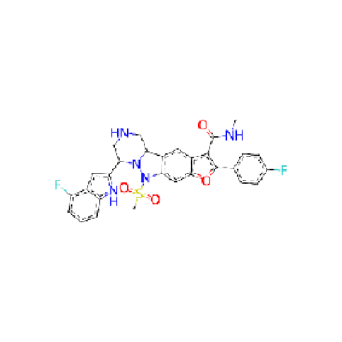 CNC(=O)c1c(-c2ccc(F)cc2)oc2cc3c(cc12)C1CNCC(c2cc4c(F)cccc4[nH]2)N1N3S(C)(=O)=O